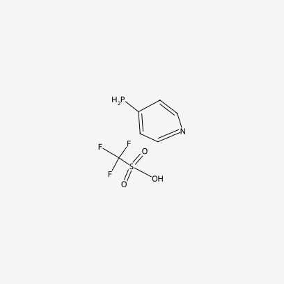 O=S(=O)(O)C(F)(F)F.Pc1ccncc1